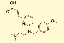 COc1ccc(CN(CCN(C)C)c2cccc(/C=C/C(=O)O)n2)cc1